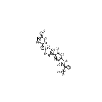 COc1ccc(OC2CCN(c3nc4c(cc3C)CN(C(=O)C3CC3)C4)CC2)cn1